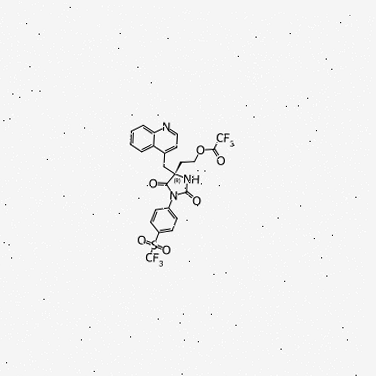 O=C1N[C@@](CCOC(=O)C(F)(F)F)(Cc2ccnc3ccccc23)C(=O)N1c1ccc(S(=O)(=O)C(F)(F)F)cc1